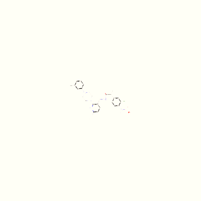 Cc1cccc(N2CCN(c3nc(C(F)(F)F)ccc3CNC(=O)C(C)c3ccc(N(C)[SH](=O)=O)c(F)c3)CC2)c1